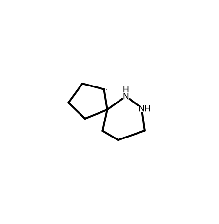 [CH]1CCCC12CCCNN2